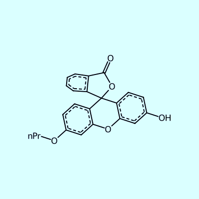 CCCOc1ccc2c(c1)Oc1cc(O)ccc1C21OC(=O)c2ccccc21